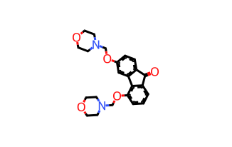 O=C1c2ccc(OCN3CCOCC3)cc2-c2c(OCN3CCOCC3)cccc21